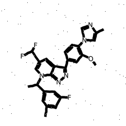 COc1cc(-c2nnc3n(C(C)c4cc(C)cc(F)c4)cc(C(F)F)cc2-3)ccc1-n1cnc(C)c1